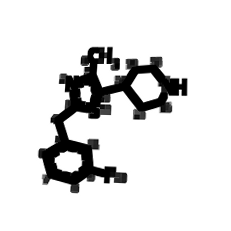 Cc1nc(Cc2cccc(F)c2)sc1C1CCNCC1